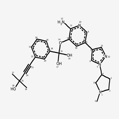 CN1CCC(n2cc(-c3cnc(N)c(OC(O)(O)c4cccc(C#CC(C)(C)O)c4)c3)cn2)C1